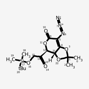 CC1(C)OC2=C(N=[N+]=[N-])C(=O)O[C@H](C(=O)CO[Si](C)(C)C(C)(C)C)[C@H]2O1